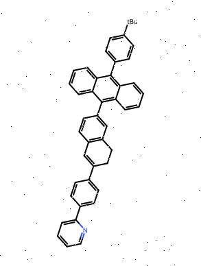 CC(C)(C)c1ccc(-c2c3ccccc3c(-c3ccc4c(c3)CCC(c3ccc(-c5ccccn5)cc3)=C4)c3ccccc23)cc1